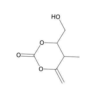 C=C1OC(=O)OC(CO)C1C